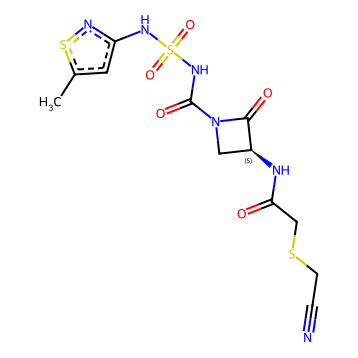 Cc1cc(NS(=O)(=O)NC(=O)N2C[C@H](NC(=O)CSCC#N)C2=O)ns1